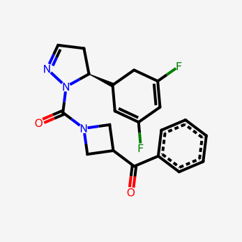 O=C(c1ccccc1)C1CN(C(=O)N2N=CC[C@H]2C2C=C(F)C=C(F)C2)C1